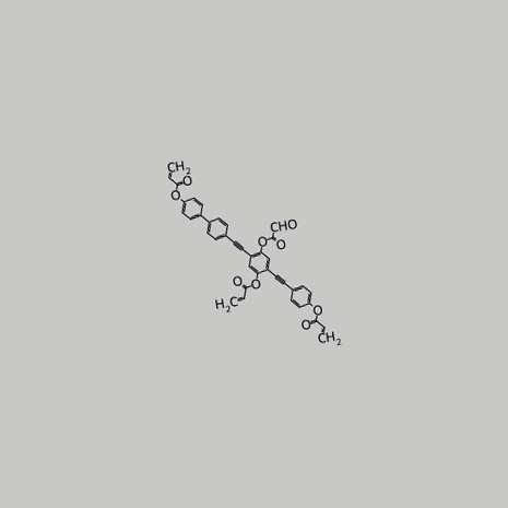 C=CC(=O)Oc1ccc(C#Cc2cc(OC(=O)C=O)c(C#Cc3ccc(-c4ccc(OC(=O)C=C)cc4)cc3)cc2OC(=O)C=C)cc1